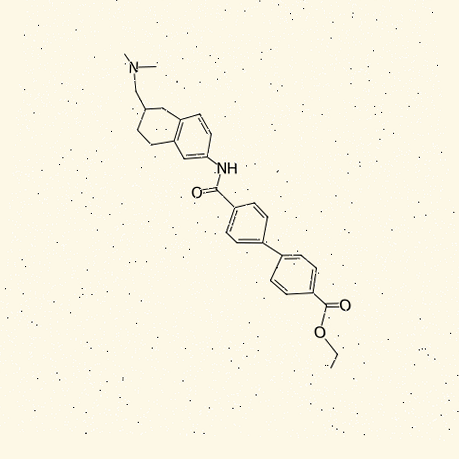 CCOC(=O)c1ccc(-c2ccc(C(=O)Nc3ccc4c(c3)CCC(CN(C)C)C4)cc2)cc1